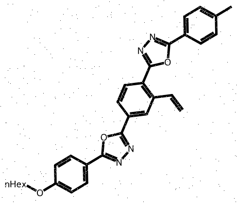 C=Cc1cc(-c2nnc(-c3ccc(OCCCCCC)cc3)o2)ccc1-c1nnc(-c2ccc(C)cc2)o1